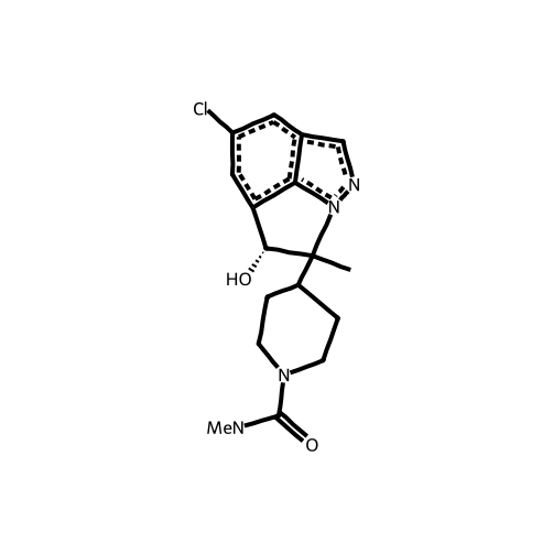 CNC(=O)N1CCC(C2(C)[C@H](O)c3cc(Cl)cc4cnn2c34)CC1